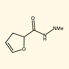 CNNC(=O)C1CC=CO1